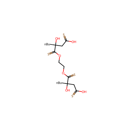 CCCCC(O)(CC(O)=S)C(=S)OCCOC(=S)C(O)(CCCC)CC(O)=S